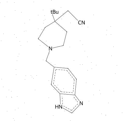 CC(C)(C)C1(CC#N)CCN(Cc2ccc3nc[nH]c3c2)CC1